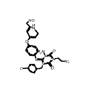 Nn1c(=O)n(CCN=O)c(=O)n(Cc2ccc(Cl)cc2)/c1=N/c1ccc(OC2=CCNC(CN=O)=C2)cc1